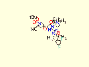 C[C@H](Oc1cc(O[C@H]2CCN(C(=O)OC(C)(C)C)[C@H](CC#N)C2)nc(-c2noc(C(C)(C)c3ccc(F)cc3F)n2)n1)[C@@H]1CCCN1C